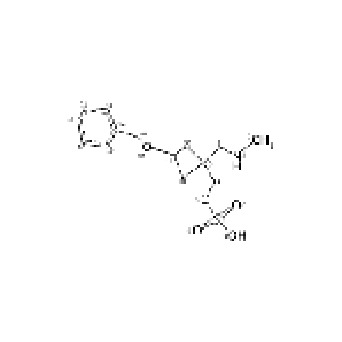 CNCC1(COS(=O)(=O)O)CC(OCc2ccccc2)C1